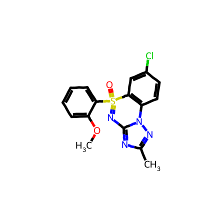 COc1ccccc1S1(=O)=Nc2nc(C)nn2-c2ccc(Cl)cc21